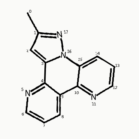 Cc1cc2c3ncccc3c3ncccc3n2n1